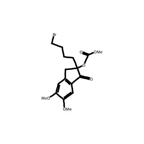 COC(=O)OC1(CCCCBr)Cc2cc(OC)c(OC)cc2C1=O